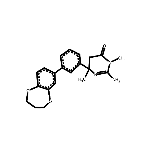 CN1C(=O)CC(C)(c2cccc(-c3ccc4c(c3)OCCCO4)c2)N=C1N